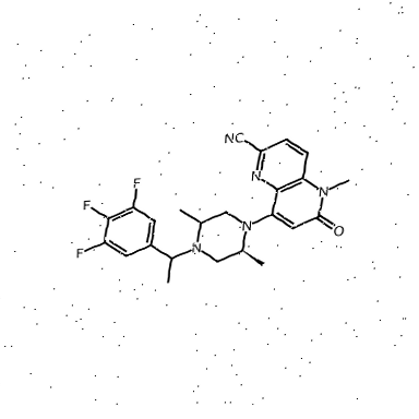 CC1CN(c2cc(=O)n(C)c3ccc(C#N)nc23)[C@@H](C)CN1C(C)c1cc(F)c(F)c(F)c1